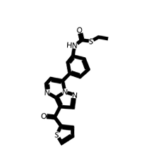 CCSC(=O)Nc1cccc(-c2ccnc3c(C(=O)c4cccs4)cnn23)c1